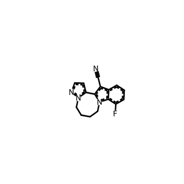 N#Cc1c2n(c3c(F)cccc13)CCCCn1nccc1-2